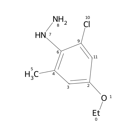 CCOc1cc(C)c(NN)c(Cl)c1